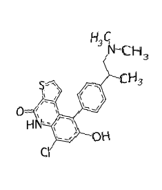 CC(CN(C)C)c1ccc(-c2c(O)cc(Cl)c3[nH]c(=O)c4sccc4c23)cc1